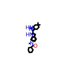 CN(C(=O)C1CCCCC1)c1ccc2cc(-c3n[nH]c4c3CCC(C)(C)C4)[nH]c2c1